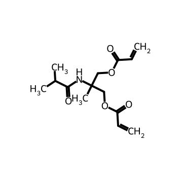 C=CC(=O)OCC(C)(COC(=O)C=C)NC(=O)C(C)C